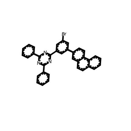 Brc1cc(-c2ccc3c(ccc4ccccc43)c2)cc(-c2nc(-c3ccccc3)nc(-c3ccccc3)n2)c1